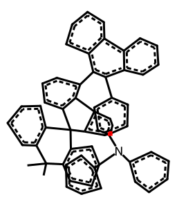 CC1(C)c2ccccc2C2(c3ccccc3-c3c(-c4c(-c5ccc(N(c6ccccc6)c6ccccc6)cc5)c5ccccc5c5ccccc45)cccc32)c2ccccc21